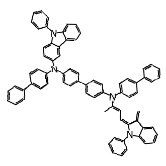 C=c1/c(=C\C=C(/C)N(c2ccc(-c3ccccc3)cc2)c2ccc(-c3ccc(N(c4ccc(-c5ccccc5)cc4)c4ccc5c(c4)c4ccccc4n5-c4ccccc4)cc3)cc2)n(-c2ccccc2)c2ccccc12